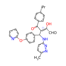 Cc1ccc(NC(/C(C(=O)c2ccc(C(C)C)cc2)=C(/O)C=O)c2ccc(Oc3ccccn3)cc2)nn1